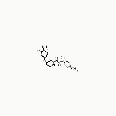 CN1CCC(N(C)C(=O)Nc2cc(Oc3ccc(N)c(F)c3)ccn2)CC1